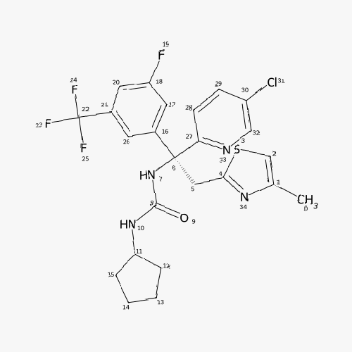 Cc1csc(C[C@](NC(=O)NC2CCCC2)(c2cc(F)cc(C(F)(F)F)c2)c2ccc(Cl)cn2)n1